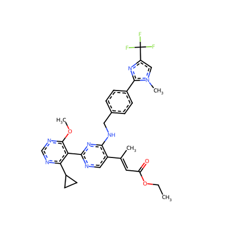 CCOC(=O)/C=C(\C)c1cnc(-c2c(OC)ncnc2C2CC2)nc1NCc1ccc(-c2nc(C(F)(F)F)cn2C)cc1